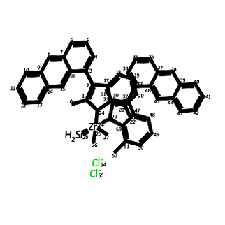 CC1=C(c2cccc3cc4ccccc4cc23)c2cccc(C)c2[CH]1[Zr+2]([CH3])([CH3])(=[SiH2])[CH]1C(C)=C(c2cccc3cc4ccccc4cc23)c2cccc(C)c21.[Cl-].[Cl-]